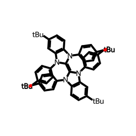 CC(C)(C)c1ccc(N2/C(=C3/N(c4ccc(C(C)(C)C)cc4)c4ccc(C(C)(C)C)cc4N3c3ccc(C(C)(C)C)cc3)N(c3ccc(C(C)(C)C)cc3)c3cc(C(C)(C)C)ccc32)cc1